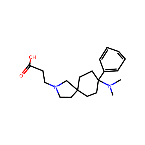 CN(C)C1(c2ccccc2)CCC2(CCN(CCC(=O)O)C2)CC1